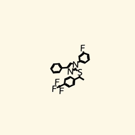 CC(Sc1nc(-c2ccccc2)cn1-c1cccc(F)c1)c1ccc(C(F)(F)F)cc1